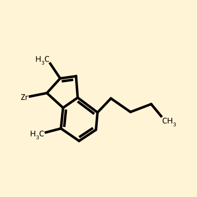 CCCCc1ccc(C)c2c1C=C(C)[CH]2[Zr]